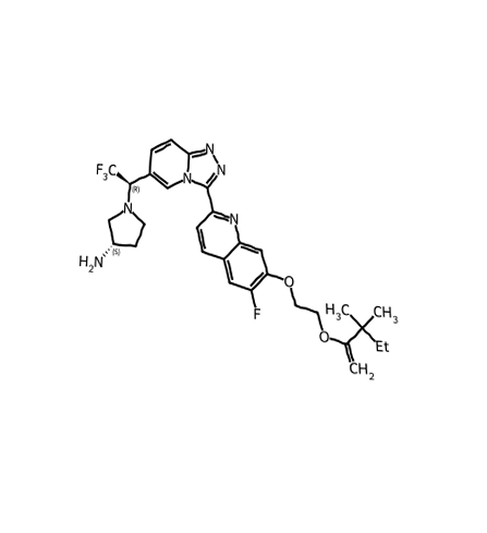 C=C(OCCOc1cc2nc(-c3nnc4ccc([C@@H](N5CC[C@H](N)C5)C(F)(F)F)cn34)ccc2cc1F)C(C)(C)CC